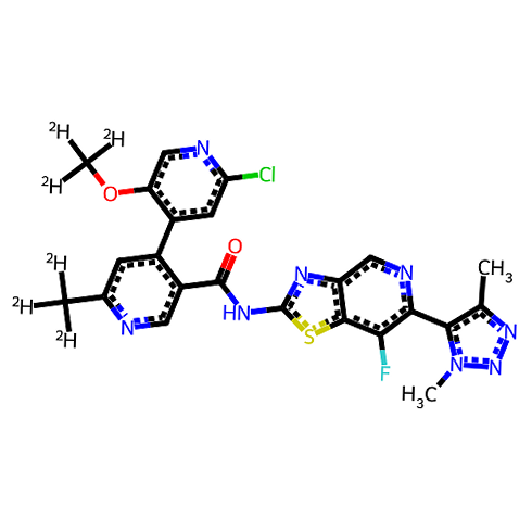 [2H]C([2H])([2H])Oc1cnc(Cl)cc1-c1cc(C([2H])([2H])[2H])ncc1C(=O)Nc1nc2cnc(-c3c(C)nnn3C)c(F)c2s1